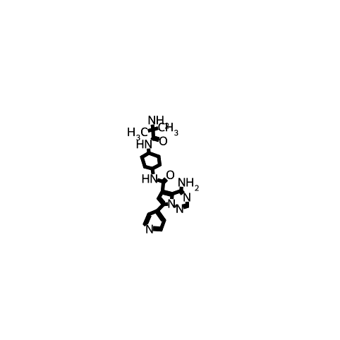 CC(C)(N)C(=O)NC1CCC(NC(=O)c2cc(-c3ccncc3)n3ncnc(N)c23)CC1